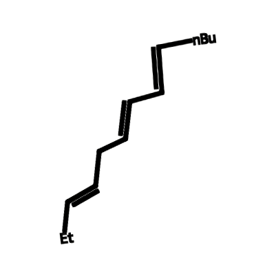 CCC=CCC=CC=CCCCC